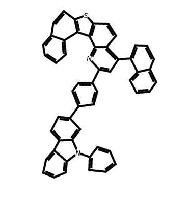 c1ccc(-n2c3ccccc3c3ccc(-c4ccc(-c5cc(-c6cccc7ccccc67)c6ccc7sc8ccc9ccccc9c8c7c6n5)cc4)cc32)cc1